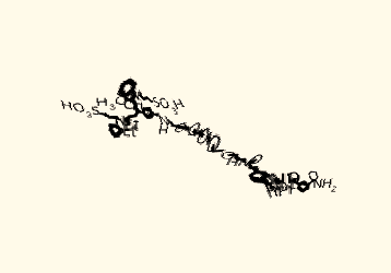 CCCn1/c(=N/C(=O)c2cccc(C(N)=O)c2)[nH]c2cc(/C=C/C(=O)NCCCOCCOCCOCCOCCOCCCNCc3ccc(C(=C\C=C4\N(CCCCS(=O)(=O)O)c5ccccc5C4(C)C)/C=C/C(CC)=[N+](\CCCCS(=O)(=O)O)c4ccccc4CC)cc3)ccc21